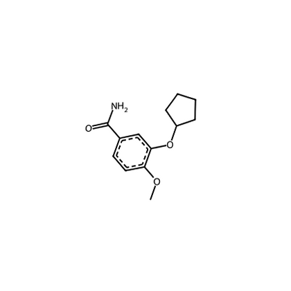 COc1ccc(C(N)=O)cc1OC1CCCC1